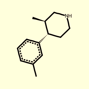 Cc1cccc([C@H]2CCNC[C@@H]2C)c1